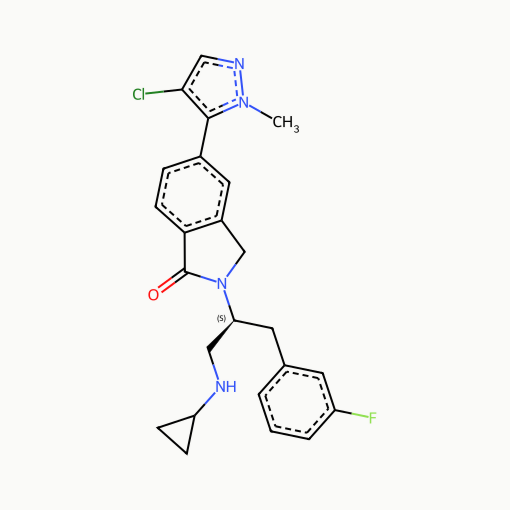 Cn1ncc(Cl)c1-c1ccc2c(c1)CN([C@H](CNC1CC1)Cc1cccc(F)c1)C2=O